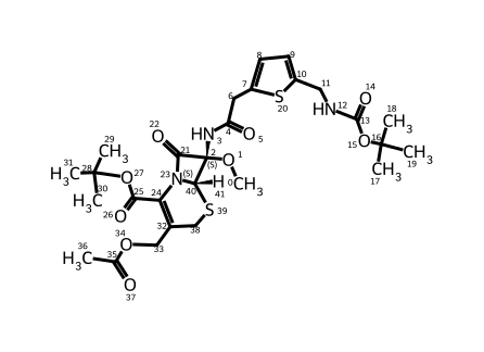 CO[C@@]1(NC(=O)Cc2ccc(CNC(=O)OC(C)(C)C)s2)C(=O)N2C(C(=O)OC(C)(C)C)=C(COC(C)=O)CS[C@H]21